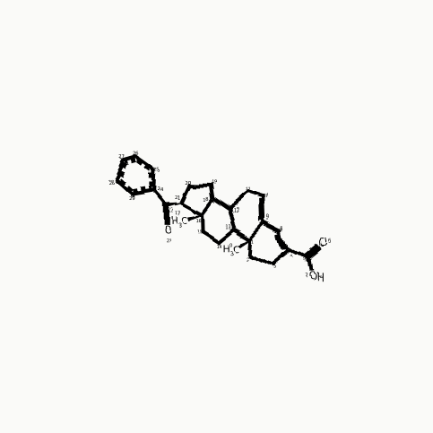 C[C@]12CCC(C(=O)O)=CC1=CCC1C2CC[C@@]2(C)C1CC[C@@H]2C(=O)c1ccccc1